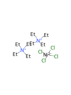 CC[N+](CC)(CC)CC.CC[N+](CC)(CC)CC.[Cl][Ni-2]([Cl])([Cl])[Cl]